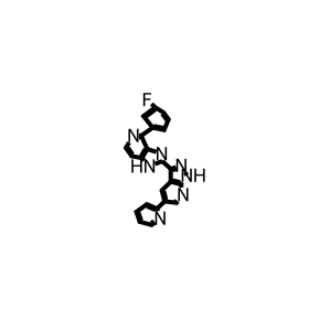 Fc1cccc(-c2nccc3[nH]c(-c4n[nH]c5ncc(-c6ccccn6)cc45)nc23)c1